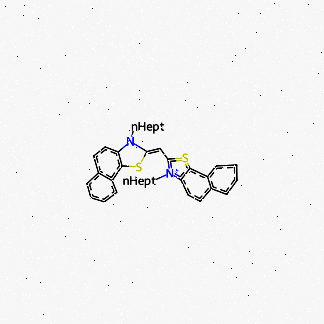 CCCCCCCN1/C(=C/c2sc3c4ccccc4ccc3[n+]2CCCCCCC)Sc2c1ccc1ccccc21